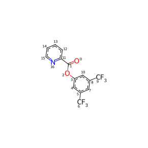 O=C(Oc1cc(C(F)(F)F)cc(C(F)(F)F)c1)c1ccccn1